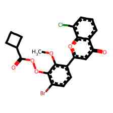 COc1c(-c2cc(=O)c3cccc(Cl)c3o2)ccc(Br)c1OOC(=O)C1CCC1